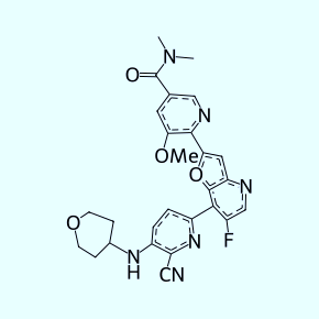 COc1cc(C(=O)N(C)C)cnc1-c1cc2ncc(F)c(-c3ccc(NC4CCOCC4)c(C#N)n3)c2o1